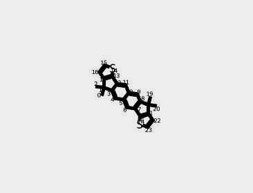 CC1(C)c2cc3cc4c(cc3cc2-c2sccc21)C(C)(C)c1ccsc1-4